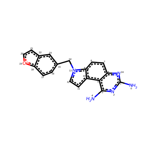 Nc1nc(N)c2c(ccc3c2ccn3Cc2ccc3occc3c2)n1